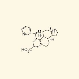 C[C@@]12CCC[C@H]1[C@@H]1CCc3cc(C(=O)O)cc(C(=O)c4cccnc4)c3[C@H]1CC2